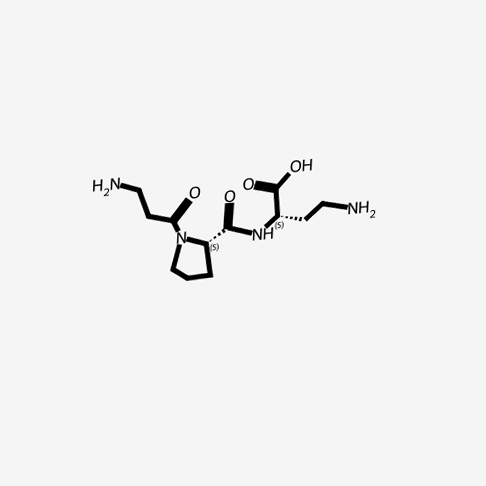 NCCC(=O)N1CCC[C@H]1C(=O)N[C@@H](CCN)C(=O)O